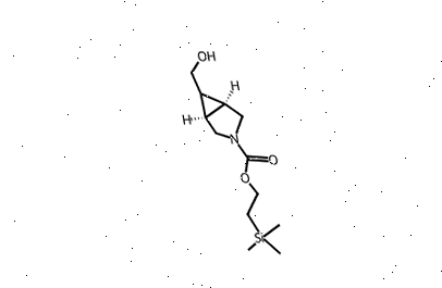 C[Si](C)(C)CCOC(=O)N1C[C@@H]2C(CO)[C@@H]2C1